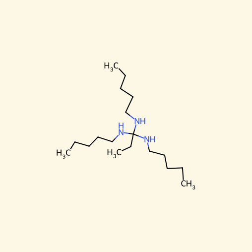 CCCCCNC(CC)(NCCCCC)NCCCCC